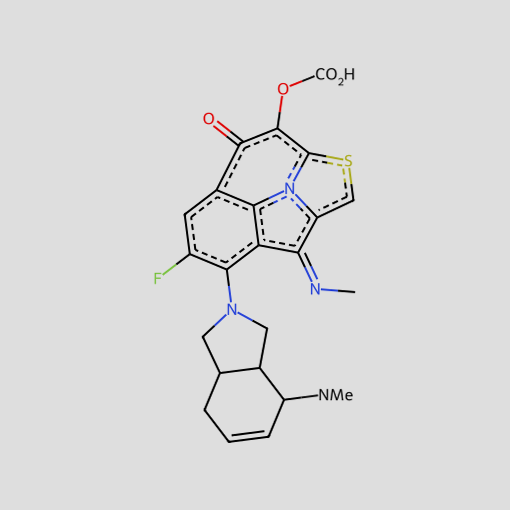 CN=c1c2c(N3CC4CC=CC(NC)C4C3)c(F)cc3c(=O)c(OC(=O)O)c4scc1n4c32